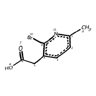 Cc1ccc(CC(=O)O)c(Br)n1